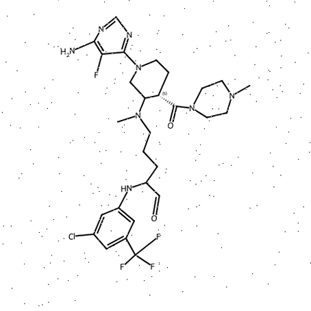 CN1CCN(C(=O)[C@H]2CCN(c3ncnc(N)c3F)CC2N(C)CCCC(C=O)Nc2cc(Cl)cc(C(F)(F)F)c2)CC1